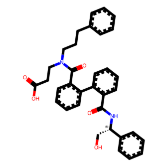 O=C(O)CCN(CCCc1ccccc1)C(=O)c1ccccc1-c1ccccc1C(=O)N[C@@H](CO)c1ccccc1